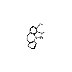 CC(C)c1ccc2c(c1C(C)C)N(C(C)C)C1=C(CCC=C1)CC2